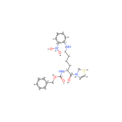 O=C(NC(CCCCNc1ccccc1[N+](=O)[O-])C(=O)N1C=CSC1)OCc1ccccc1